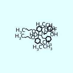 CCCCOc1ccc(C(C)(C)C)cc1C(O)(c1cc(C(C)(C)C)ccc1OCCCC)C(Cc1ccccc1)N=Cc1cccc(F)c1O